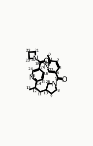 Cc1ccc(C(=O)N2CCC(CC(C)c3ccc(C(=O)N4CCC4)cn3)C2)cn1